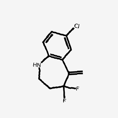 C=C1c2cc(Cl)ccc2NCCC1(F)F